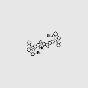 Cc1ccccc1N(c1ccc2cc3c(cc2c1)oc1c(C#N)c2c(cc13)oc1cc3cc(N(c4ccccc4C)c4cccc5c4oc4c(C(C)(C)C)cccc45)ccc3cc12)c1cccc2c1oc1c(C(C)(C)C)cccc12